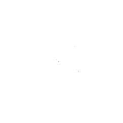 Ic1ccnc(N2CCOC3(CCC3)C2)n1